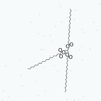 CCCCCCCCCCCCCCCCCC(=O)OCC(COC(=O)CCCCCCCCCCCCCCCCC)COC(=O)C(=O)CCCCCCCCCCCCCCCCC